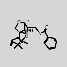 C=C[C@H](O)[C@@]12CO[C@@H](C(CNC(=O)c3ccccc3)O1)[C@@H]2O[Si](C)(C)C(C)(C)C